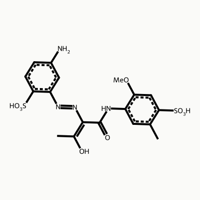 COc1cc(S(=O)(=O)O)c(C)cc1NC(=O)C(N=Nc1cc(N)ccc1S(=O)(=O)O)=C(C)O